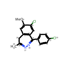 COc1cc2c(cc1Cl)C(c1ccc(Cl)cc1)=NN=C(C)C2